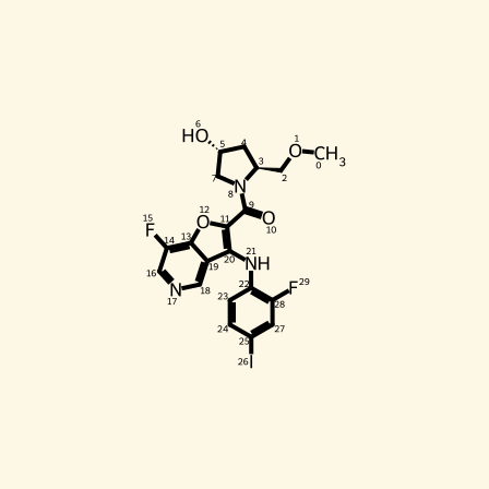 COC[C@@H]1C[C@@H](O)CN1C(=O)c1oc2c(F)cncc2c1Nc1ccc(I)cc1F